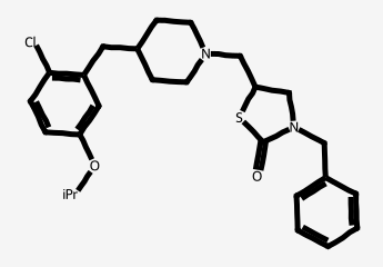 CC(C)Oc1ccc(Cl)c(CC2CCN(CC3CN(Cc4ccccc4)C(=O)S3)CC2)c1